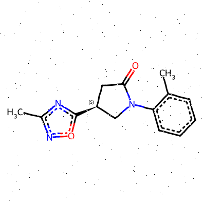 Cc1noc([C@H]2CC(=O)N(c3ccccc3C)C2)n1